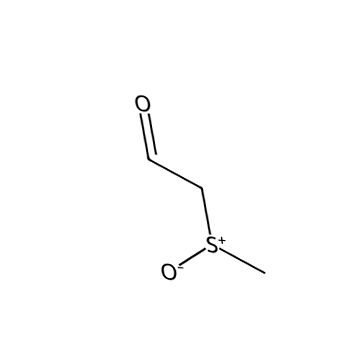 C[S+]([O-])CC=O